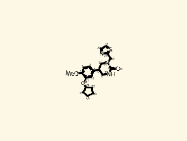 COc1ccc(C2CNC(=O)N(Cc3nccs3)C2)cc1OC1CCCC1